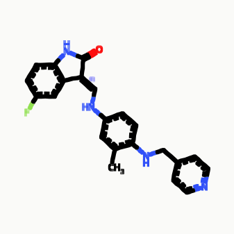 Cc1cc(N/C=C2/C(=O)Nc3ccc(F)cc32)ccc1NCc1ccncc1